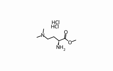 COC(=O)[C@@H](N)CCN(C)C.Cl.Cl